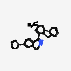 Cc1cc2c(c(-c3nccc4cc(C5CCCC5)ccc34)c1)Cc1ccccc1-2